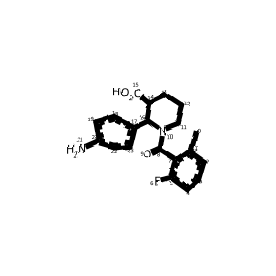 Cc1cccc(F)c1C(=O)N1CCCC(C(=O)O)C1c1ccc(N)cc1